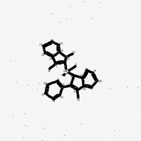 CC1=C(S(C)(C)C2C(c3ccccc3)=C(C)c3ccccc32)C(C)c2ccccc21